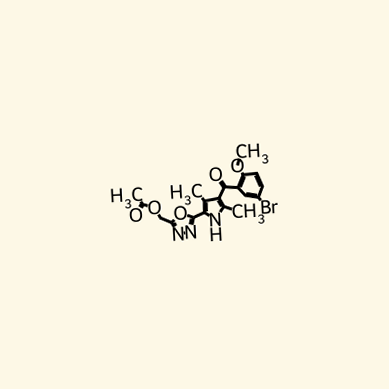 COc1ccc(Br)cc1C(=O)c1c(C)[nH]c(-c2nnc(COC(C)=O)o2)c1C